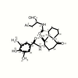 CC(=O)C[C@@H](C=O)NC(=O)[C@@H]1CCCN2C(=O)CC[C@H](NC(=O)c3cc(C)c(O)c(C)c3)C(=O)N12